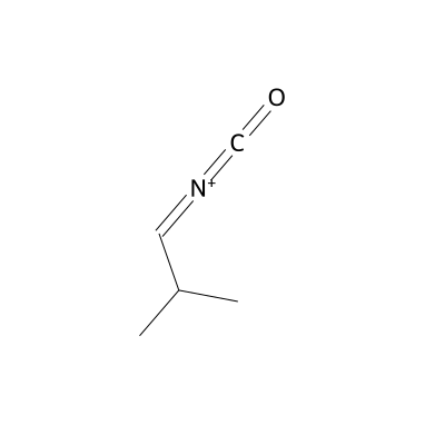 CC(C)C=[N+]=C=O